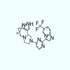 CC1(C)C[C@@H]1CN1CCN(c2ccnc(-c3cnc4ccc(C(F)(F)F)cn34)n2)CC1c1cn[nH]c1